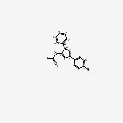 CC(=O)Oc1cc(-c2ccc(Br)cc2)nn1-c1ccccn1